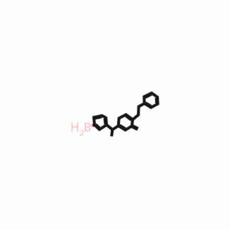 Bc1cccc(C(C)C2=CC(=C)C(CCc3ccccc3)=CC2)c1